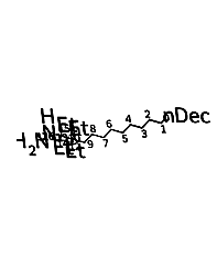 CCCCCCCCCCCCCCCCCCCC(CC)(CC)C(CC)(CC)NN